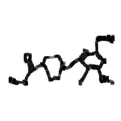 COc1nc(C)c(I)c(N2CCN(C(=O)OC(C)(C)C)CC2)n1